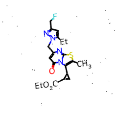 CCOC(=O)C1CC1c1c(C)sc2nc(Cn3nc(CF)cc3CC)cc(=O)n12